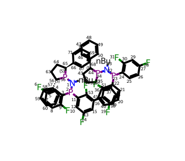 CCCCN(P(c1cc(F)ccc1F)c1cc(F)cc(-c2c(F)ccc(P(c3ccc(F)cc3F)N(CCCC)P3[C@H](c4ccccc4)CC[C@H]3c3ccccc3)c2F)c1F)P1[C@H](c2ccccc2)CC[C@H]1c1ccccc1